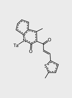 Cc1ccc(/C=C/C(=O)c2c(C)c3ccccc3[n]([Ta])c2=O)s1